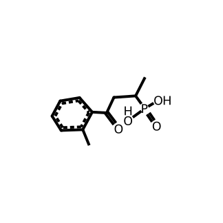 Cc1ccccc1C(=O)CC(C)P(=O)(O)O